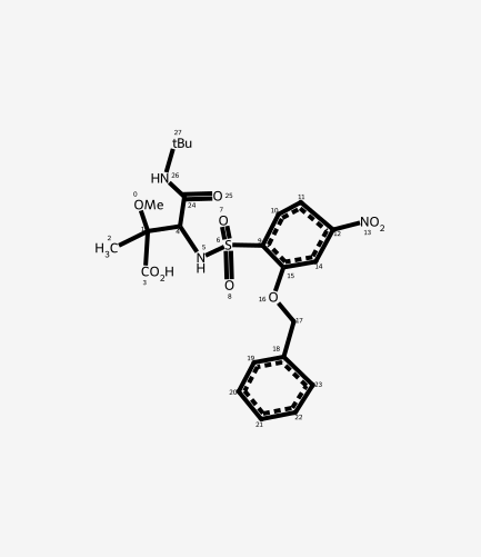 COC(C)(C(=O)O)C(NS(=O)(=O)c1ccc([N+](=O)[O-])cc1OCc1ccccc1)C(=O)NC(C)(C)C